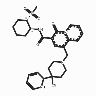 CS(=O)(=O)[C@H]1CCCC[C@@H]1NC(=O)c1cc(CN2CCC(C#N)(C3C=CC=CN3)CC2)c2ccccn2c1=O